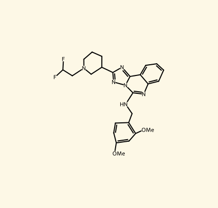 COc1ccc(CNc2nc3ccccc3c3nc(C4CCCN(CC(F)F)C4)nn23)c(OC)c1